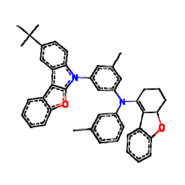 Cc1cccc(N(C2=C3c4ccccc4OC3CCC2)c2cc(C)cc(-n3c4ccc(C(C)(C)C)cc4c4c5ccccc5oc43)c2)c1